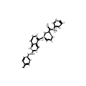 Cc1ccc(CNc2ncc3c(N4CCCC(C(=O)Nc5cccnc5)C4)nccc3n2)cc1